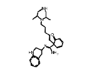 CC1CNCC(C)N1CCCCCC1(C(N)=NC2CNc3ccccc3C2)C=CC=CC1=O